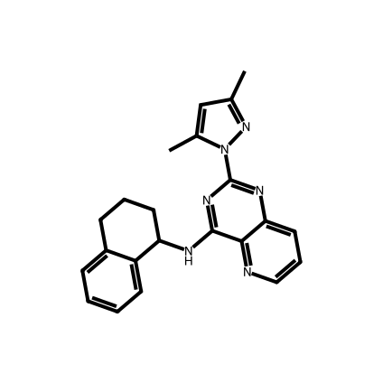 Cc1cc(C)n(-c2nc(NC3CCCc4ccccc43)c3ncccc3n2)n1